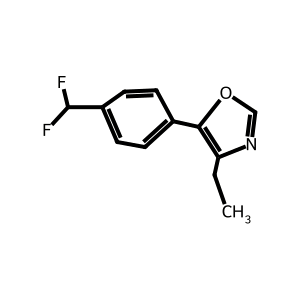 CCc1ncoc1-c1ccc(C(F)F)cc1